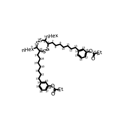 CCCCCCC1SSC(CCCCCC)C(CCCCCCCc2cccc(OC(=O)CC)c2)SSC1CCCCCCCc1cccc(OC(=O)CC)c1